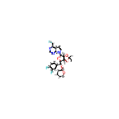 CC1(C)O[C@H]2[C@@H](O1)[C@H](n1ccc3c(CF)ncnc31)O[C@@H]2[C@H](OC1CCCCO1)c1ccc(F)c(F)c1